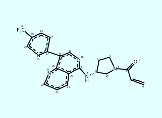 C=CC(=O)N1CC[C@@H](Nc2ncc(-c3ccc(C(F)(F)F)cn3)c3ncccc23)C1